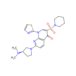 CN(C)[C@@H]1CCN(c2ccc3c(=O)c(S(=O)(=O)N4CCCCC4)cn(-c4nccs4)c3n2)C1